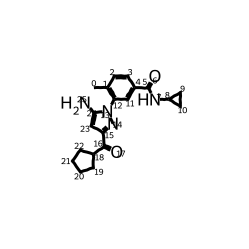 Cc1ccc(C(=O)NC2CC2)cc1-n1nc(C(=O)C2CCCC2)cc1N